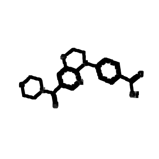 O=C(O)c1ccc(N2CCOc3cc(C(=O)N4CCOCC4)cnc32)cc1